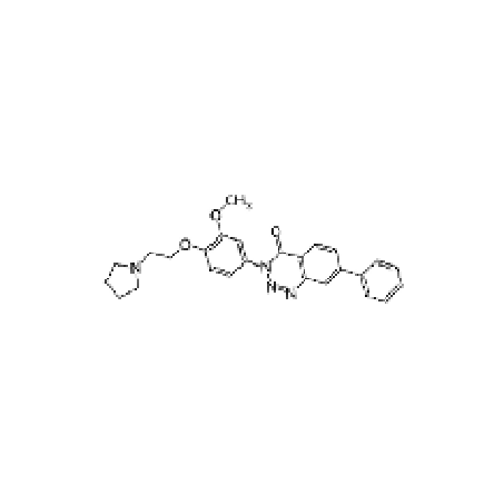 COc1cc(-n2nnc3cc(-c4ccccc4)ccc3c2=O)ccc1OCCN1CCCC1